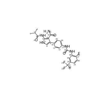 CC(C)C(=O)Nc1[nH]cc(-c2ccc(NC(=O)Nc3cc(C(F)(F)F)ccc3F)cc2)c1C(N)=O